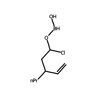 C=CC(CCC)CC(Cl)OBO